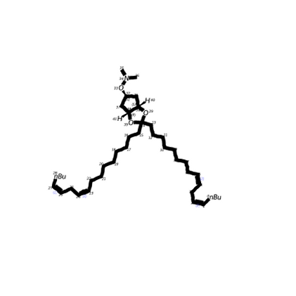 CCCC/C=C\C/C=C\CCCCCCCCC1(CCCCCCCC/C=C\C/C=C\CCCC)O[C@H]2C[C@H](ON(C)C)C[C@H]2O1